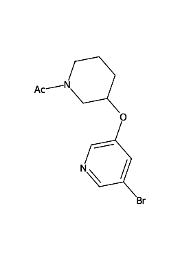 CC(=O)N1CCCC(Oc2cncc(Br)c2)C1